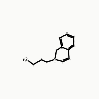 FC(F)(F)CCCN1C=Cc2ccccc2C1